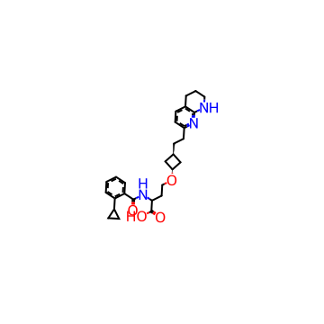 O=C(NC(CCO[C@H]1C[C@H](CCc2ccc3c(n2)NCCC3)C1)C(=O)O)c1ccccc1C1CC1